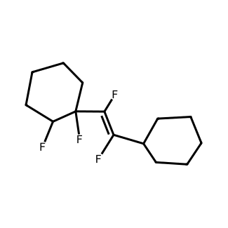 FC(=C(F)C1(F)CCCCC1F)C1CCCCC1